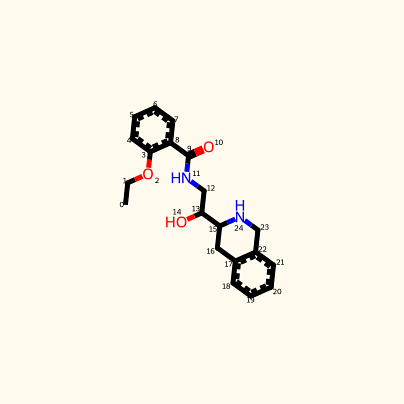 CCOc1ccccc1C(=O)NCC(O)C1Cc2ccccc2CN1